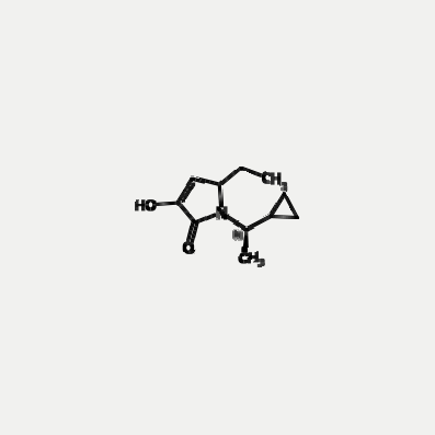 CCC1C=C(O)C(=O)N1[C@H](C)C1CC1